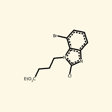 CCOC(=O)CCCn1c(Cl)nc2cccc(Br)c21